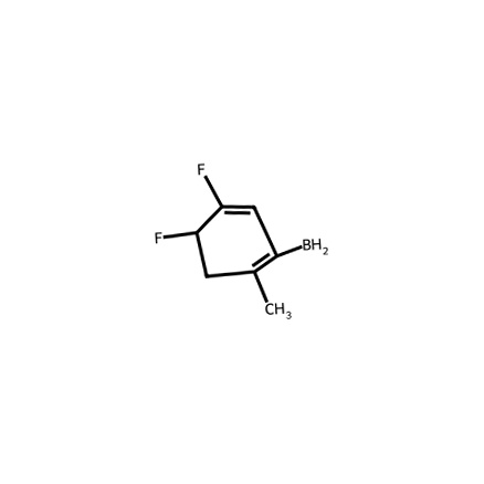 BC1=C(C)CC(F)C(F)=C1